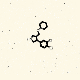 Clc1ccc(C2CNCC2COC2CCCCC2)cc1Cl